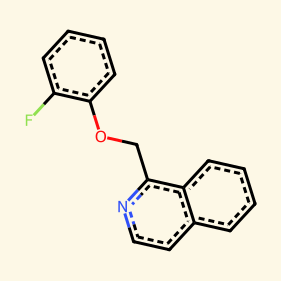 Fc1ccccc1OCc1nccc2ccccc12